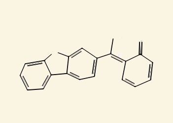 C=c1cccc/c1=C(/C)c1ccc2c(c1)oc1ccccc12